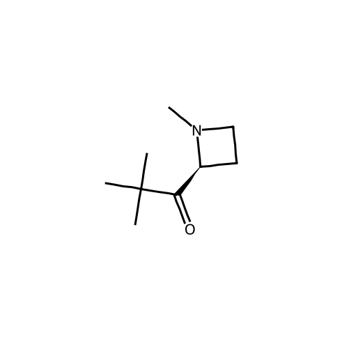 CN1CC[C@H]1C(=O)C(C)(C)C